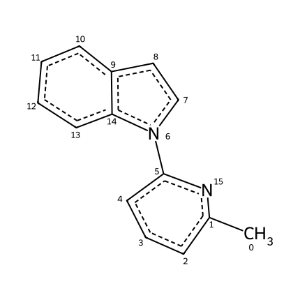 Cc1cccc(-n2ccc3ccccc32)n1